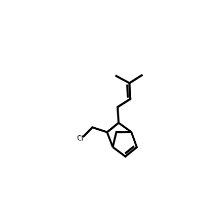 CC(C)=CCC1C2C=CC(C2)C1CCl